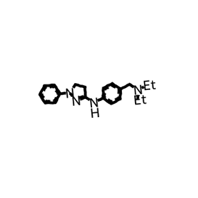 CCN(CC)Cc1ccc(NC2=NN(c3ccccc3)CC2)cc1